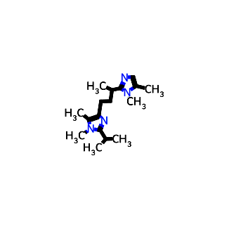 Cc1cnc(C(C)CCc2nc(C(C)C)n(C)c2C)n1C